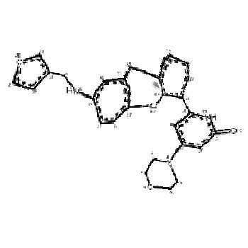 O=c1cc(N2CCOCC2)cc(-c2cccc3c2Oc2ccc(NCc4ccoc4)cc2C3)[nH]1